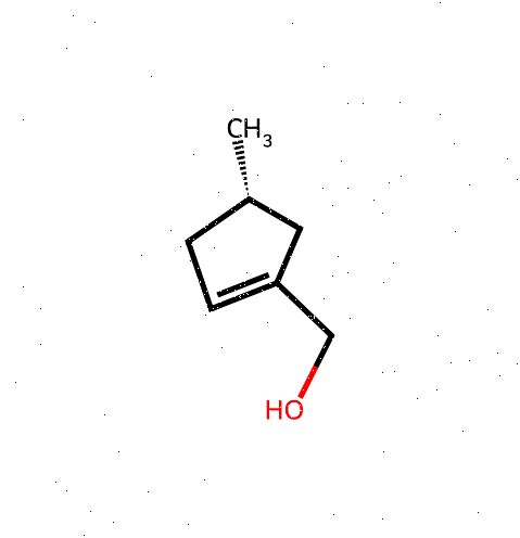 C[C@H]1CC=C(CO)C1